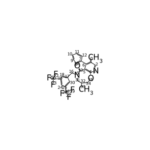 Cc1cnc2c(c1-c1ccccc1)C(=O)N(Cc1cc(C(F)(F)F)cc(C(F)(F)F)c1)CC(C)CO2